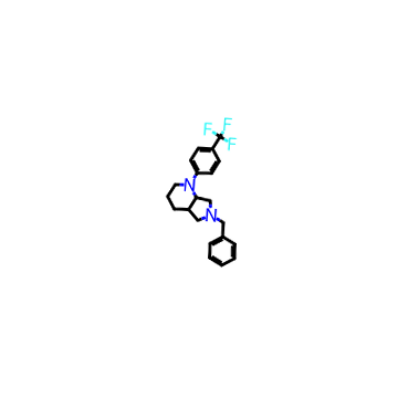 FC(F)(F)c1ccc(N2CCCC3CN(Cc4ccccc4)CC32)cc1